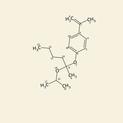 C=C(C)c1ccc(OC(C)(CCCC)OC(C)C)cc1